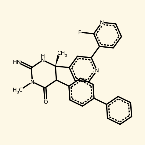 CN1C(=N)N[C@](C)(c2ccnc(-c3cccnc3F)c2)C(c2ccc(-c3ccccc3)cc2)C1=O